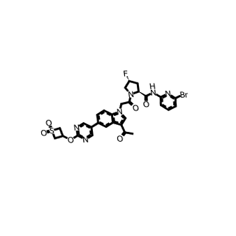 CC(=O)c1cn(CC(=O)N2C[C@H](F)C[C@H]2C(=O)Nc2cccc(Br)n2)c2ccc(-c3cnc(OC4CS(=O)(=O)C4)nc3)cc12